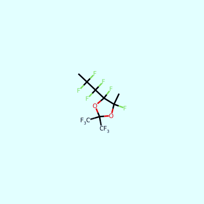 CC(F)(F)C(F)(F)C1(F)OC(C(F)(F)F)(C(F)(F)F)OC1(C)F